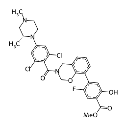 COC(=O)c1cc(F)c(-c2cccc3c2OCN(C(=O)c2c(Cl)cc(N4CCN(C)C[C@H]4C)cc2Cl)C3)cc1O